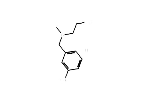 CN(CCO)Cc1cccc([N+](=O)[O-])c1.Cl